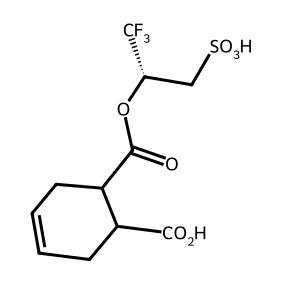 O=C(O)C1CC=CCC1C(=O)O[C@@H](CS(=O)(=O)O)C(F)(F)F